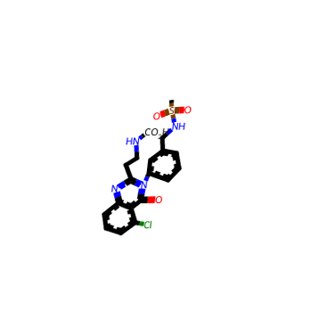 CS(=O)(=O)NCc1cccc(-n2c(CCNC(=O)O)nc3cccc(Cl)c3c2=O)c1